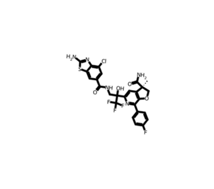 C[C@]1(C(N)=O)COc2c1cc(C(O)(CNC(=O)c1cc(Cl)c3nc(N)sc3c1)C(F)(F)F)nc2-c1ccc(F)cc1